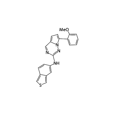 COc1ccccc1-c1ccc2cnc(Nc3ccc4cscc4c3)nn12